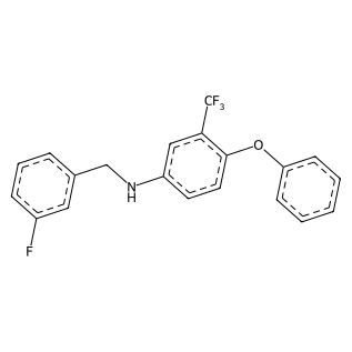 Fc1cccc(CNc2ccc(Oc3ccccc3)c(C(F)(F)F)c2)c1